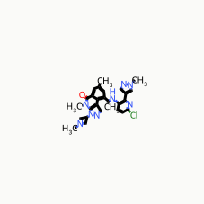 Cc1cc(C(C)Nc2ccc(Cl)nc2-c2cnn(C)c2)c2c(c1)c(=O)n(C)c1c2cnn1C1CN(C)C1